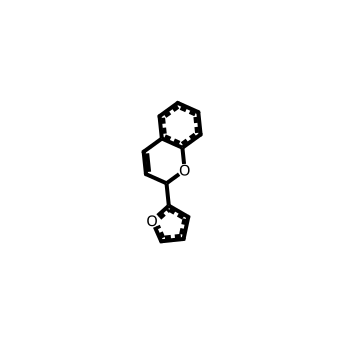 C1=CC(c2ccco2)Oc2ccccc21